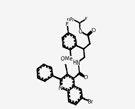 CCCC(F)OC(=O)CC(CNC(=O)c1c(C)c(-c2ccccc2)nc2ccc(Br)cc12)c1cc(F)ccc1OC